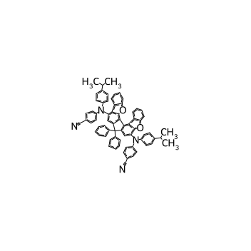 CC(C)c1ccc(N(c2ccc(C#N)cc2)c2cc3c(c4c2oc2ccccc24)-c2c(cc(N(c4ccc(C#N)cc4)c4ccc(C(C)C)cc4)c4c2oc2ccccc24)C3(c2ccccc2)c2ccccc2)cc1